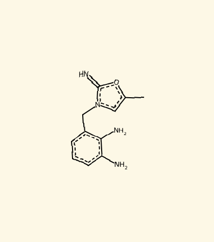 Cc1cn(Cc2cccc(N)c2N)c(=N)o1